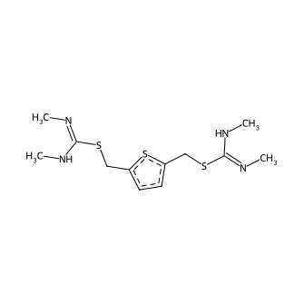 C/N=C(\NC)SCc1ccc(CS/C(=N/C)NC)s1